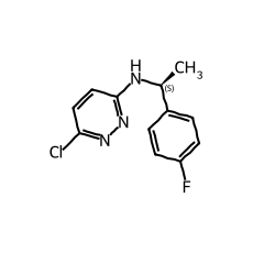 C[C@H](Nc1ccc(Cl)nn1)c1ccc(F)cc1